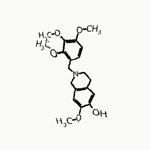 COc1cc2c(cc1O)CCN(Cc1ccc(OC)c(OC)c1OC)C2